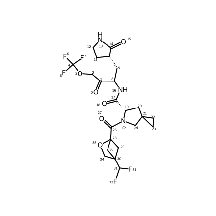 O=C(COC(F)(F)F)C(C[C@@H]1CCNC1=O)NC(=O)[C@@H]1CC2(CC2)CN1C(=O)C12CC(C(F)F)(CO1)C2